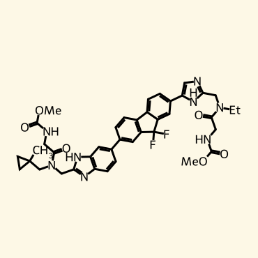 CCN(Cc1ncc(-c2ccc3c(c2)C(F)(F)c2cc(-c4ccc5nc(CN(CC6(C)CC6)C(=O)CNC(=O)OC)[nH]c5c4)ccc2-3)[nH]1)C(=O)CNC(=O)OC